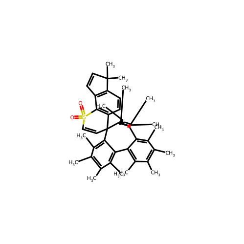 Cc1c(C)c(C)c2c(c1C)-c1c(C)c(C)c(C)c(C)c1C1(C=CS(=O)(=O)c3c1ccc1c3C=CC1(C)C)c1c(C)c(C)c(C)c(C)c1-2